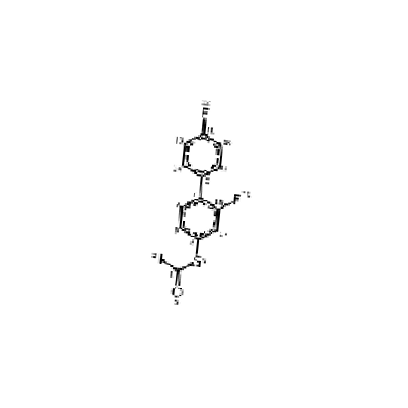 O=C(I)Sc1ccc(-c2ccc(F)cc2)c(F)c1